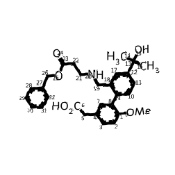 COc1ccc(CC(=O)O)cc1-c1ccc(C(C)(C)O)cc1CNCCC(=O)OCc1ccccc1